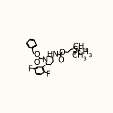 C[Si](C)(C)CCOC(=O)N[C@@H]1CC[C@@H](c2cc(F)ccc2F)N(C(=O)OCc2ccccc2)C1